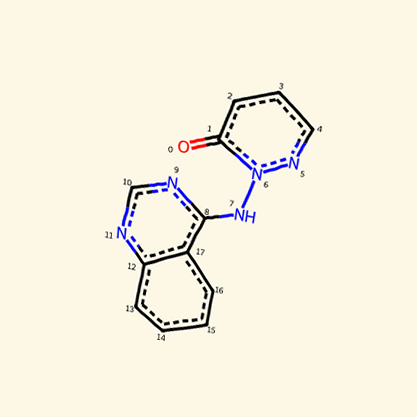 O=c1cccnn1Nc1ncnc2ccccc12